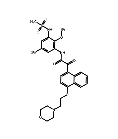 CC(C)Oc1c(NC(=O)C(=O)c2ccc(OCCN3CCOCC3)c3ccccc23)cc(C(C)(C)C)cc1NS(C)(=O)=O